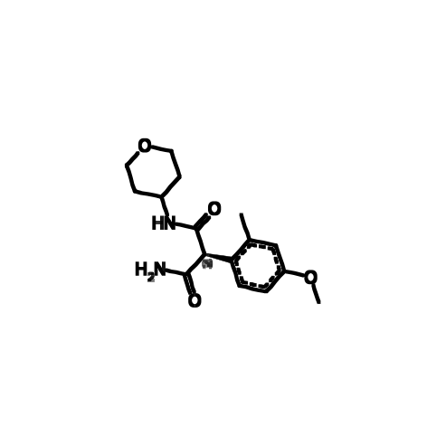 COc1ccc([C@@H](C(N)=O)C(=O)NC2CCOCC2)c(C)c1